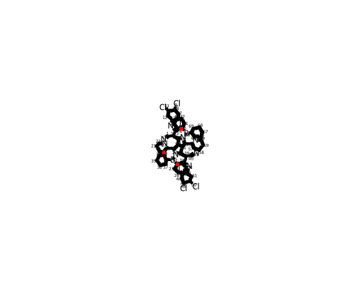 N#C/C(c1cnc2cc(Cl)c(Cl)cc2n1)=c1\c2c(-c3ccccn3)n(B(c3ccccc3)c3ccccc3)/c(=C(/C#N)c3cnc4cc(Cl)c(Cl)cc4n3)c2c(-c2ccccn2)n1B(c1ccccc1)c1ccccc1